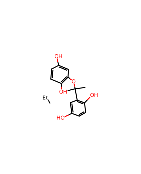 CC(C)(Oc1cc(O)ccc1O)c1cc(O)ccc1O.CCC